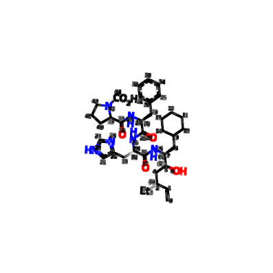 C=C[C@H](CC)C[C@H](O)[C@H](CC1CCCCC1)NC(=O)[C@H](Cc1c[nH]cn1)NC(=O)[C@H](Cc1ccccc1)NC(=O)C1CCCN1C(=O)O